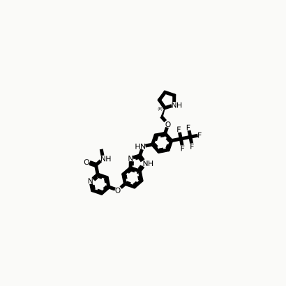 CNC(=O)c1cc(Oc2ccc3[nH]c(Nc4ccc(C(F)(F)C(F)(F)F)c(OC[C@H]5CCCN5)c4)nc3c2)ccn1